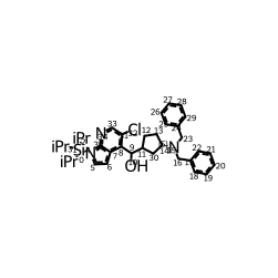 CC(C)[Si](C(C)C)(C(C)C)n1ccc2c(C(O)C3CC[C@H](N(Cc4ccccc4)Cc4ccccc4)C3)c(Cl)cnc21